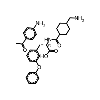 CC(=O)c1ccc(N)cc1.NCC1CCC(C(=O)N[C@@H](Cc2cccc(Oc3ccccc3)c2)C(=O)O)CC1